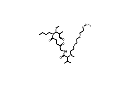 CCCCN(C(=O)CCC(=O)CNC(=O)C(C(C)C)N(C)CCOCCOCCON)C(OC)C(C)C=O